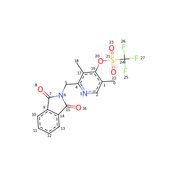 Cc1cnc(CN2C(=O)c3ccccc3C2=O)c(C)c1OS(=O)(=O)C(F)(F)F